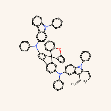 C=Cc1c(/C=C\C)n(-c2ccccc2)c2ccc(N(c3ccccc3)c3ccc4c(c3)C3(c5ccccc5Oc5ccccc53)c3cc(N(c5ccccc5)c5ccc6c(c5)c5ccccc5n6-c5ccccc5)ccc3-4)cc12